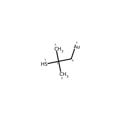 CC(C)(S)[CH2][Au]